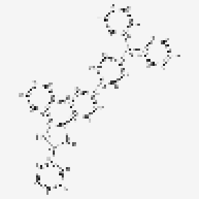 c1ccc(C2Nc3c(c4ccc(-c5ccc(N(c6ccccc6)c6ccccc6)cc5)cc4c4ccccc34)S2)cc1